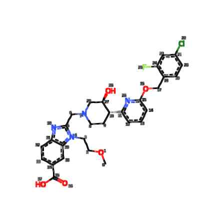 COCCn1c(CN2CC[C@@H](c3cccc(OCc4ccc(Cl)cc4F)n3)[C@H](O)C2)nc2ccc(C(=O)O)cc21